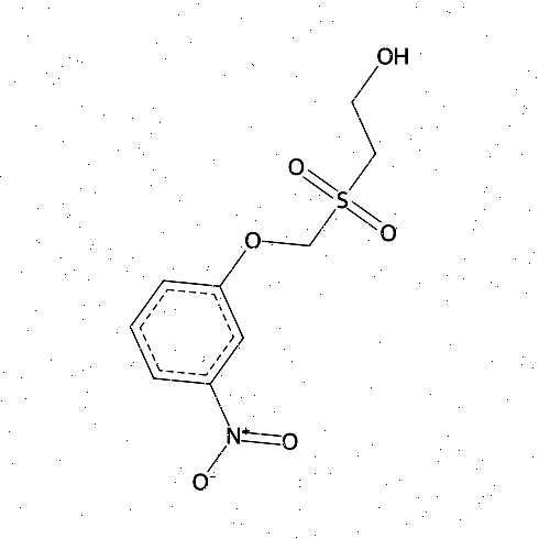 O=[N+]([O-])c1cccc(OCS(=O)(=O)CCO)c1